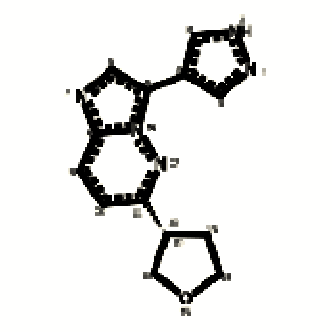 c1n[nH]cc1-c1cnc2ccc([C@@H]3CCOC3)nn12